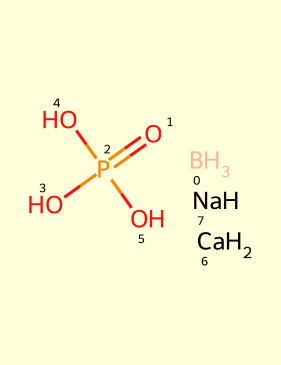 B.O=P(O)(O)O.[CaH2].[NaH]